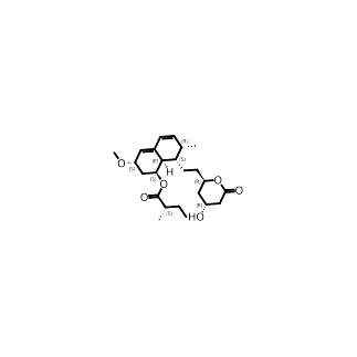 CC[C@H](C)C(=O)O[C@H]1C[C@H](OC)C=C2C=C[C@H](C)[C@H](CC[C@@H]3C[C@@H](O)CC(=O)O3)[C@H]21